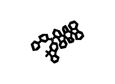 CC1(C)c2ccccc2-c2ccc(N(c3cccc(-c4ccccc4)c3)c3cccc4c3-c3ccccc3C43c4ccccc4C4(c5ccccc5-c5ccccc54)c4ccccc43)cc21